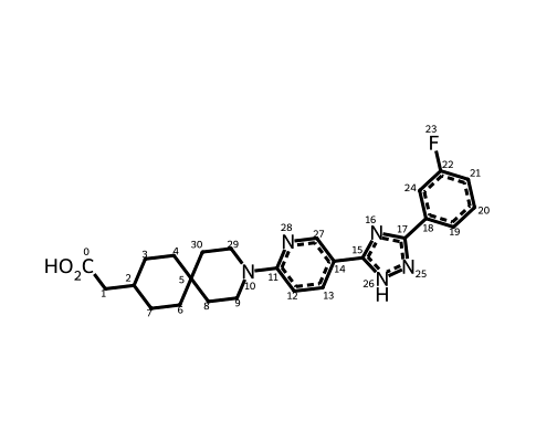 O=C(O)CC1CCC2(CC1)CCN(c1ccc(-c3nc(-c4cccc(F)c4)n[nH]3)cn1)CC2